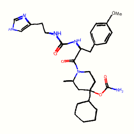 COc1ccc(CC(NC(=O)NCCc2c[nH]cn2)C(=O)N2CCC(OC(N)=O)(C3CCCCC3)CC2C)cc1